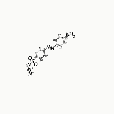 [N-]=[N+]=NS(=O)(=O)c1ccc(/N=N/c2ccc(N)cc2)cc1